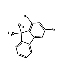 CC1(C)c2ccccc2-c2cc(Br)cc(Br)c21